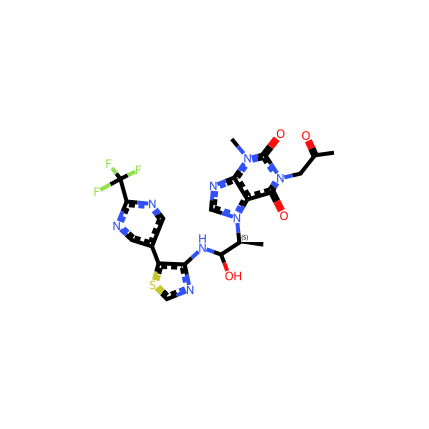 CC(=O)Cn1c(=O)c2c(ncn2[C@@H](C)C(O)Nc2ncsc2-c2cnc(C(F)(F)F)nc2)n(C)c1=O